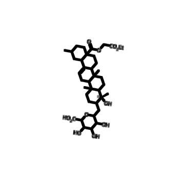 CCOC(=O)COC(=O)C12CCC(C)CC1C1=CCC3C(C)(CCC4C3(C)CCC(CC3OC(C(=O)O)C(O)C(O)C3O)[C@@]4(C)O)C1CC2